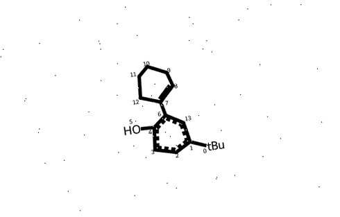 CC(C)(C)c1ccc(O)c(C2=CCCCC2)c1